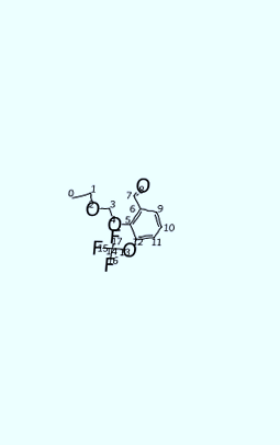 CCOCOc1c(C=O)cccc1OC(F)(F)F